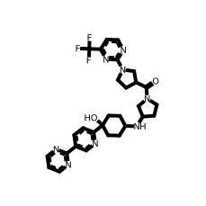 O=C(C1CCN(c2nccc(C(F)(F)F)n2)C1)N1CCC(NC2CCC(O)(c3ccc(-c4ncccn4)cn3)CC2)C1